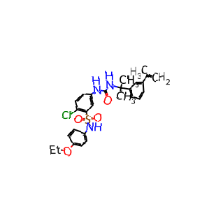 C=C(C)c1cccc(C(C)(C)NC(=O)Nc2ccc(Cl)c(S(=O)(=O)Nc3ccc(OCC)cc3)c2)c1